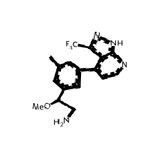 COC(CN)c1cc(C)cc(-c2ccnc3[nH]nc(C(F)(F)F)c23)c1